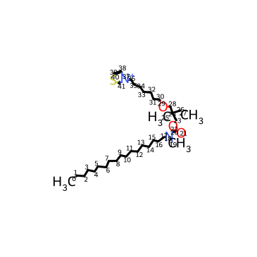 CCCCCCCCCCCCCCCCCCN(C)C(=O)OCC(C)(CC)COCCCCCCC[n+]1ccsc1